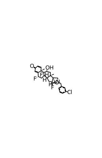 C[C@]12C=CC(=O)C=C1[C@@H](F)C[C@H]1[C@@H]3C[C@H]4CN(Cc5cccc(Cl)c5)C[C@@]4(C(=O)CF)[C@@]3(C)C[C@H](O)[C@@]12F